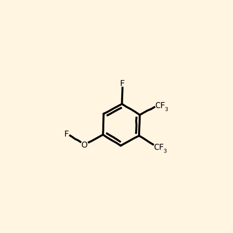 FOc1cc(F)c(C(F)(F)F)c(C(F)(F)F)c1